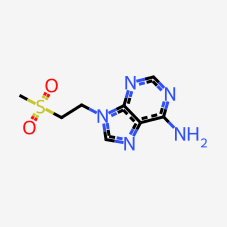 CS(=O)(=O)CCn1cnc2c(N)ncnc21